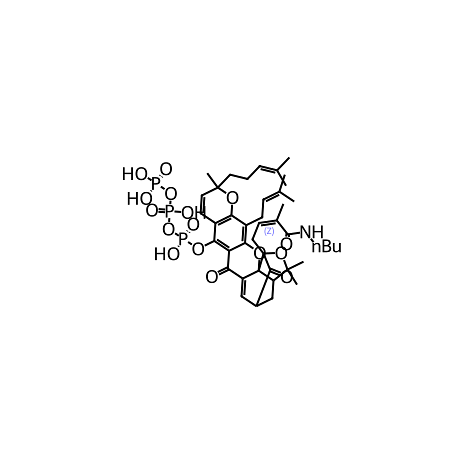 CCCCNC(=O)/C(C)=C\CC12OC(C)(C)C3CC(C=C4C(=O)c5c(OP(=O)(O)OP(=O)(O)OP(=O)(O)O)c6c(c(CC=C(C)C)c5OC431)OC(C)(CCC=C(C)C)C=C6)C2=O